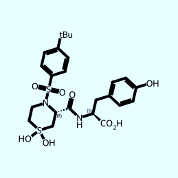 CC(C)(C)c1ccc(S(=O)(=O)N2CCS(O)(O)C[C@H]2C(=O)N[C@@H](Cc2ccc(O)cc2)C(=O)O)cc1